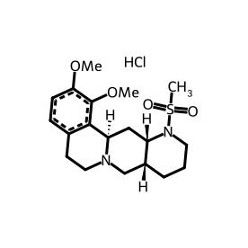 COc1ccc2c(c1OC)[C@H]1C[C@H]3[C@H](CCCN3S(C)(=O)=O)CN1CC2.Cl